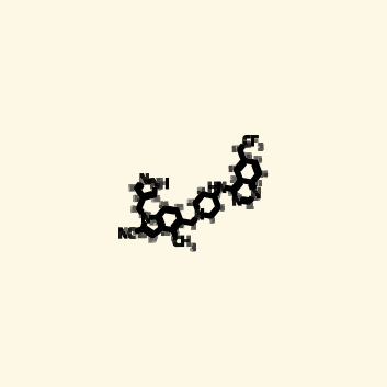 Cc1c(CN2CCC(Nc3ncnc4ccc(CC(F)(F)F)cc34)CC2)ccc2c1cc(C#N)n2Cc1cn[nH]c1